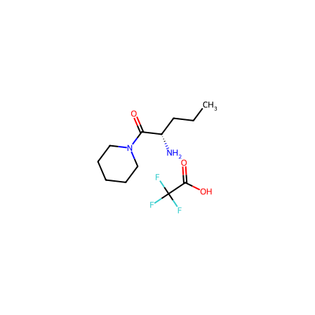 CCC[C@H](N)C(=O)N1CCCCC1.O=C(O)C(F)(F)F